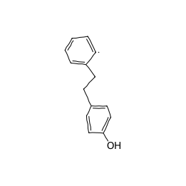 Oc1ccc(CCc2[c]cccc2)cc1